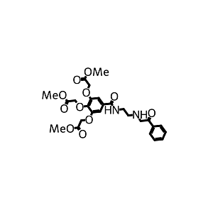 COC(=O)COc1cc(C(=O)NCCNCC(=O)c2ccccc2)cc(OCC(=O)OC)c1OCC(=O)OC